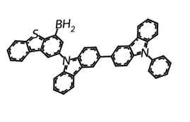 Bc1cc(-n2c3ccccc3c3cc(-c4ccc5c(c4)c4ccccc4n5-c4ccccc4)ccc32)cc2c1sc1ccccc12